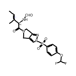 C/C=C(\C)[C@@H](NC=O)C(=O)N1Cc2cn(S(=O)(=O)c3ccc(OC(F)F)cc3)nc2C1